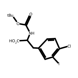 CC(C)(C)OC(=O)NC(Cc1ccc(Cl)c(I)c1)C(=O)O